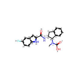 CN(C(=O)O)[C@@H]1c2ccccc2C[C@H]1NC(=O)c1cc2cc(F)ccc2[nH]1